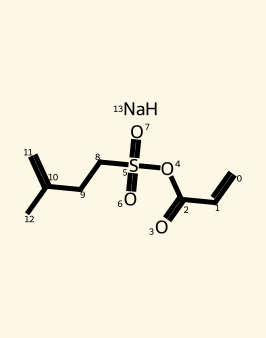 C=CC(=O)OS(=O)(=O)CCC(=C)C.[NaH]